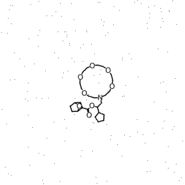 O=C(OC(CN1CCOCCOCCOCCOCCOCC1)C1CCCC1)C1CC2CCC1O2